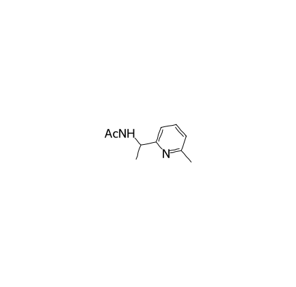 CC(=O)NC(C)c1cccc(C)n1